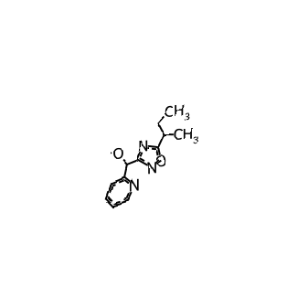 CCC(C)c1nc(C([O])c2ccccn2)no1